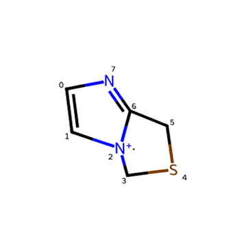 C1=C[N+]2CSCC2=N1